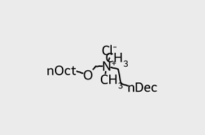 CCCCCCCCCCCC[N+](C)(C)COCCCCCCCC.[Cl-]